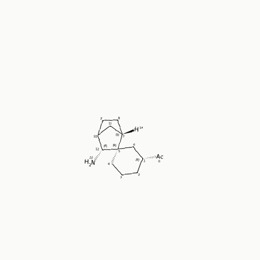 CC(=O)[C@@H]1CCC[C@@]2(C1)[C@H]1CCC(C1)[C@H]2N